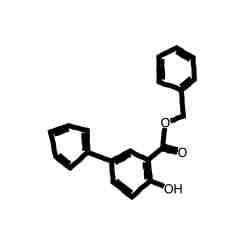 O=C(OCc1ccccc1)c1cc(-c2ccccc2)ccc1O